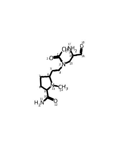 CC(=O)N(CCC1CCC(C(N)=O)N1C)CC(N)C=O